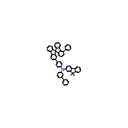 CC1(C)c2ccccc2-c2ccc(N(c3ccc(-c4ccc5c(c4)C4(c6ccccc6-5)c5ccccc5-c5c(-c6ccccc6)cccc54)cc3)c3cccc(-c4ccccc4)c3)cc21